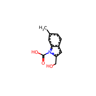 Cc1ccc2cc(CO)n(C(=O)O)c2c1